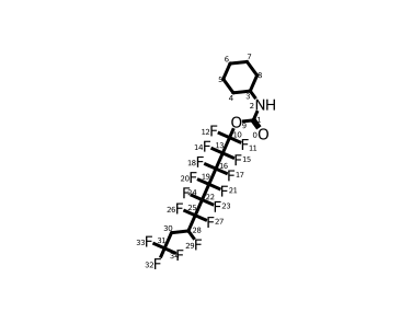 O=C(NC1CCCCC1)OC(F)(F)C(F)(F)C(F)(F)C(F)(F)C(F)(F)C(F)(F)C(F)CC(F)(F)F